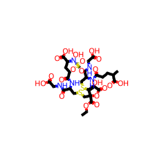 CCOC(=O)C1(CSCC(NC(=O)CCC(C(=O)O)N(O)S(C)(=O)=O)C(=O)NCC(=O)O)OC(=O)C(O)=C1SCC(NC(=O)CCC(C)C(=O)O)C(=O)NCC(=O)O